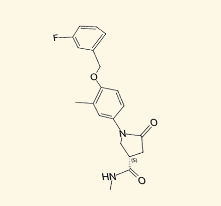 CNC(=O)[C@H]1CC(=O)N(c2ccc(OCc3cccc(F)c3)c(C)c2)C1